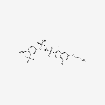 Cc1c(S(=O)(=O)NCP(=O)(O)Oc2ccc(C#N)c(C(F)(F)F)c2)sc2c(Cl)cc(OCCN)cc12